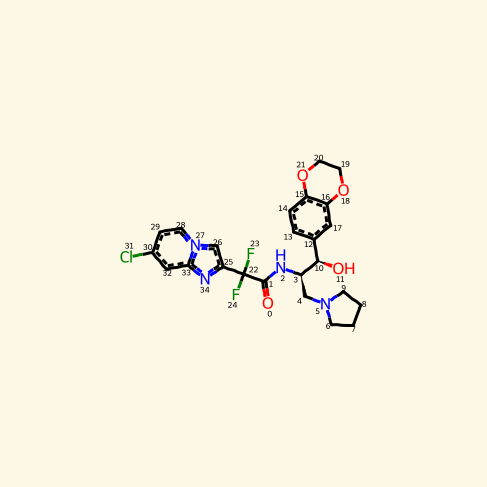 O=C(N[C@H](CN1CCCC1)[C@H](O)c1ccc2c(c1)OCCO2)C(F)(F)c1cn2ccc(Cl)cc2n1